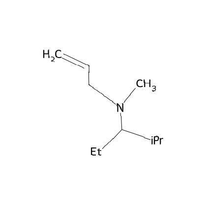 C=CCN(C)C(CC)C(C)C